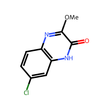 COc1nc2ccc(Cl)cc2[nH]c1=O